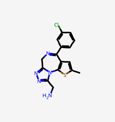 Cc1cc2c(s1)-n1c(CN)nnc1CN=C2c1cccc(Cl)c1